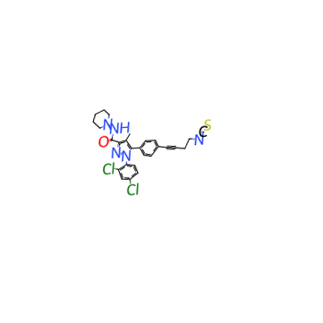 Cc1c(C(=O)NN2CCCCC2)nn(-c2ccc(Cl)cc2Cl)c1-c1ccc(C#CCCN=C=S)cc1